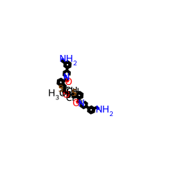 C[Si](C)(O[Si](C)(C)c1cc2c(C(=O)N3CCC(c4cccc(CN)c4)CC3)cccc2s1)c1cc2c(C(=O)N3CCC(c4cccc(CN)c4)CC3)cccc2s1